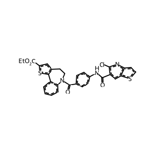 CCOC(=O)c1cc2c(s1)-c1ccccc1N(C(=O)c1ccc(NC(=O)c3cc4sccc4nc3Cl)cc1)CC2